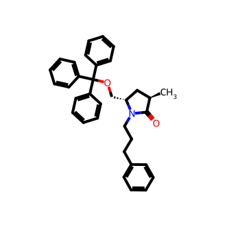 C[C@@H]1C[C@@H](COC(c2ccccc2)(c2ccccc2)c2ccccc2)N(CCCc2ccccc2)C1=O